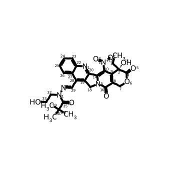 CC[C@@]1(O)C(=O)OCc2c1c([N+](=O)[O-])c1n(c2=O)Cc2c-1nc1ccccc1c2/C=N/N(CCO)C(=O)C(C)(C)C